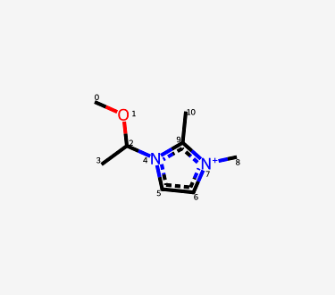 COC(C)n1cc[n+](C)c1C